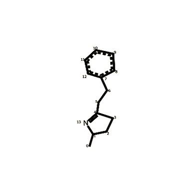 CC1CCC(CCc2ccccc2)=N1